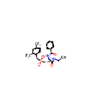 N#CCNC(=O)[C@H](CS(=O)(=O)Cc1ccc(C(F)(F)F)cc1C(F)(F)F)NC(=O)c1ccccc1